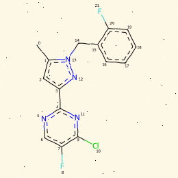 Cc1cc(-c2ncc(F)c(Cl)n2)nn1Cc1ccccc1F